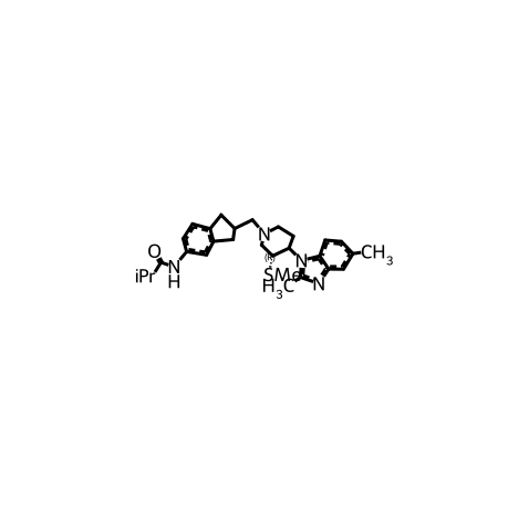 CS[C@@H]1CN(CC2Cc3ccc(NC(=O)C(C)C)cc3C2)CCC1n1c(C)nc2cc(C)ccc21